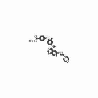 Cc1cc(Nc2ncnc3cnc(NCCN4CCOCC4)cc23)ccc1Oc1ccc(C(=O)OC(C)(C)C)cc1